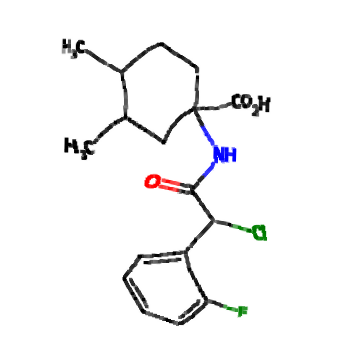 CC1CCC(NC(=O)C(Cl)c2ccccc2F)(C(=O)O)CC1C